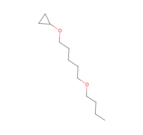 CCCCOCCCCCOC1CC1